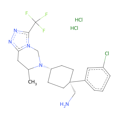 CC1Cc2nnc(C(F)(F)F)n2CN1[C@H]1CC[C@](CN)(c2cccc(Cl)c2)CC1.Cl.Cl